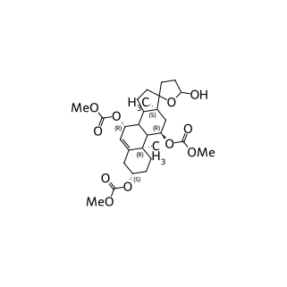 COC(=O)O[C@H]1CC[C@@]2(C)C(=C[C@H](OC(=O)OC)C3C2[C@H](OC(=O)OC)C[C@@]2(C)C3CCC23CCC(O)O3)C1